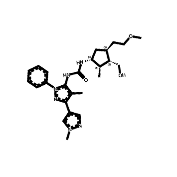 COCC[C@@H]1C[C@@H](NC(=O)Nc2c(C)c(-c3cnn(C)c3)nn2-c2ccccc2)[C@H](C)[C@H]1CO